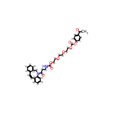 CC(=O)c1ccc(OC(=O)OCCOCCOCCOC(=O)NCCC(=O)N2Cc3ccccc3C#Cc3ccccc32)cc1